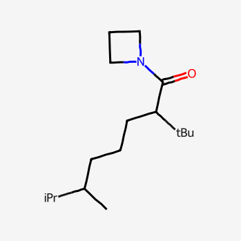 CC(C)C(C)CCCC(C(=O)N1CCC1)C(C)(C)C